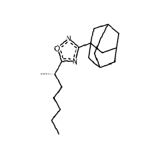 CCCCC[C@H](C)c1nc(C23CC4CC(CC(C4)C2)C3)no1